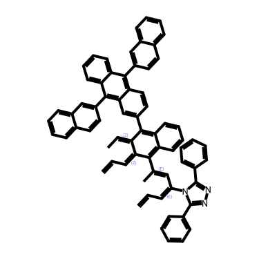 C=C/C=c1/c(/C(C)=C/C(=C\C=C)n2c(-c3ccccc3)nnc2-c2ccccc2)c2ccccc2c(-c2ccc3c(-c4ccc5ccccc5c4)c4ccccc4c(-c4ccc5ccccc5c4)c3c2)/c1=C/C